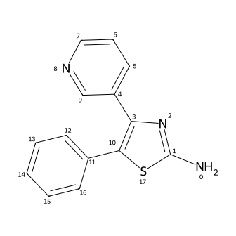 Nc1nc(-c2cccnc2)c(-c2ccccc2)s1